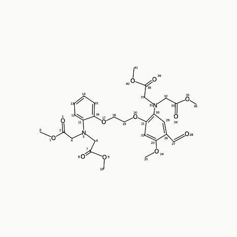 COC(=O)CN(CC(=O)OC)c1ccccc1OCCOc1cc(OC)c(C=O)cc1N(CC(=O)OC)CC(=O)OC